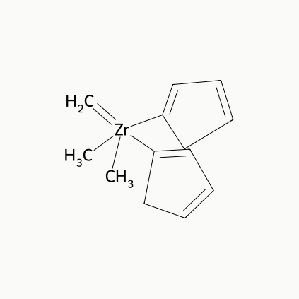 [CH2]=[Zr]([CH3])([CH3])([C]1=CC=CC1)[C]1=CC=CC1